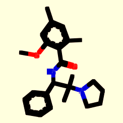 COc1cc(C)cc(C)c1C(=O)NC(c1ccccc1)C(C)(C)N1CCCC1